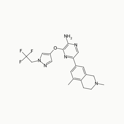 Cc1cc(-c2cnc(N)c(Oc3cnn(CC(F)(F)F)c3)n2)cc2c1CCN(C)C2